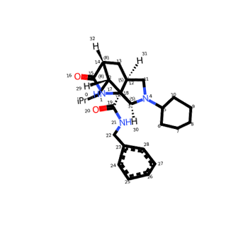 CC(C)C[C@H]1[C@@H]2N(C3CCCCC3)C[C@@H]3C[C@H]1C(=O)N[C@@]32C(=O)NCc1ccccc1